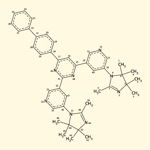 CC1=NC(C)(C)C(C)(C)N1c1cncc(-c2cc(-c3ccc(-c4ccccc4)cc3)nc(-c3cncc(N4C(C)=NC(C)(C)C4(C)C)c3)n2)c1